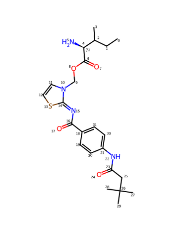 CCC(C)[C@H](N)C(=O)OCn1ccsc1=NC(=O)c1ccc(NC(=O)CC(C)(C)C)cc1